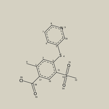 Cc1cc(Sc2cccnc2)c(S(C)(=O)=O)cc1C(=O)Cl